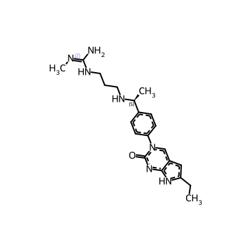 CCc1cc2cn(-c3ccc([C@H](C)NCCCN/C(N)=N\C)cc3)c(=O)nc2[nH]1